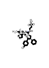 CC(C)n1nncc1S(=O)(=O)/N=C(/NCCS(N)(=O)=O)N1C[C@@H](c2ccccc2)C(c2ccc(Cl)cc2)=N1